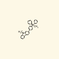 Cn1c2ccccc2c2ccc(-c3ccc([Si](C)(c4ccccc4)c4ccccc4)cc3)cc21